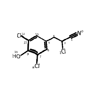 N#CC(Cl)Cc1cc(Cl)c(O)c(Cl)c1